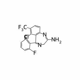 NC1=Nc2ccc(C(F)(F)F)c(Cl)c2C(c2c(F)cccc2F)=NC1